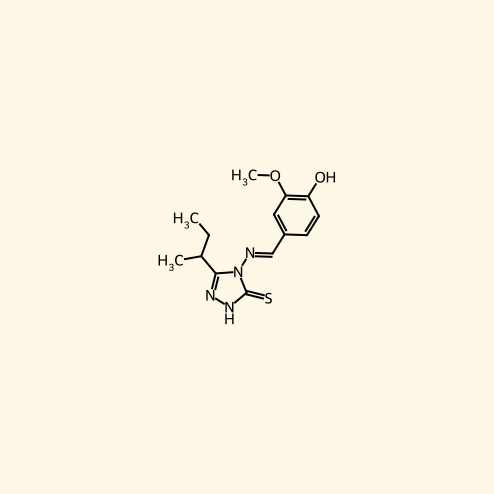 CCC(C)c1n[nH]c(=S)n1N=Cc1ccc(O)c(OC)c1